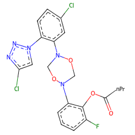 CCCC(=O)Oc1c(F)cccc1N1CON(c2cc(Cl)ccc2-n2cc(Cl)nn2)CO1